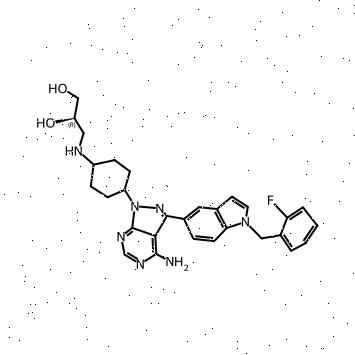 Nc1ncnc2c1c(-c1ccc3c(ccn3Cc3ccccc3F)c1)nn2C1CCC(NC[C@@H](O)CO)CC1